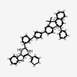 CC1(C)c2cc(-c3ccc(-c4cccc(C5NC(C6=CCCC=C6)=C6Sc7ccccc7C6N5)c4)cc3)ccc2-c2c(-c3ccccc3)cc3ccccc3c21